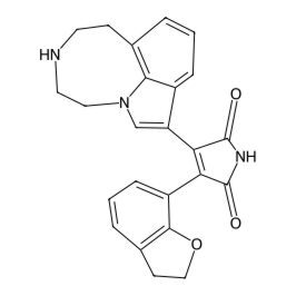 O=C1NC(=O)C(c2cn3c4c(cccc24)CCNCC3)=C1c1cccc2c1OCC2